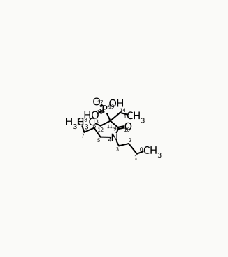 CCCCN(CCCC)C(=O)C(CC)(CC)P(=O)(O)O